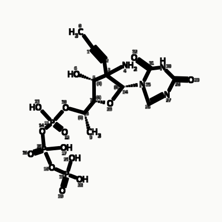 CC#CC1(N)[C@@H](O)[C@@H]([C@H](C)OP(=O)(O)OP(=O)(O)OP(=O)(O)O)O[C@H]1n1cnc(=O)[nH]c1=O